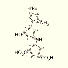 CC(C)(C)C1=CC(c2cc(O)cc(Nc3cc(C(=O)O)cc(C(=O)O)c3)c2)C(N)=C1